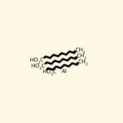 C=CCCCCCCCC(=O)O.C=CCCCCCCCC(=O)O.C=CCCCCCCCC(=O)O.[Al]